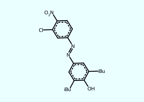 CCC(C)c1cc(/N=N/c2ccc([N+](=O)[O-])c(Cl)c2)cc(C(C)CC)c1O